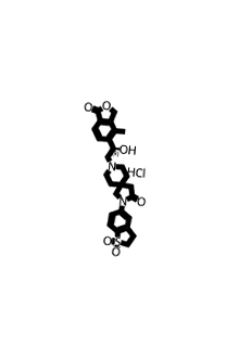 Cc1c([C@@H](O)CN2CCC3(CC2)CC(=O)N(c2ccc4c(c2)CCS4(=O)=O)C3)ccc2c1COC2=O.Cl